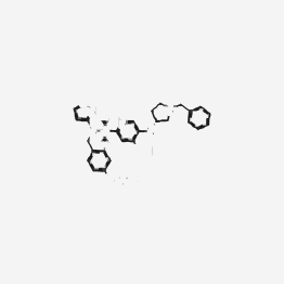 COc1ccc(CN(c2ccsn2)S(=O)(=O)c2cc(C)c(N[C@H]3CCN(Cc4ccccc4)C3)cn2)cc1